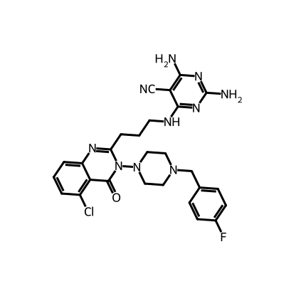 N#Cc1c(N)nc(N)nc1NCCCc1nc2cccc(Cl)c2c(=O)n1N1CCN(Cc2ccc(F)cc2)CC1